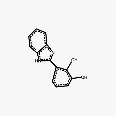 Oc1cccc(-c2nc3ccccc3[nH]2)c1O